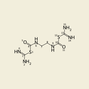 N=C(N)SC(=O)NCCNC(=O)SC(=N)N